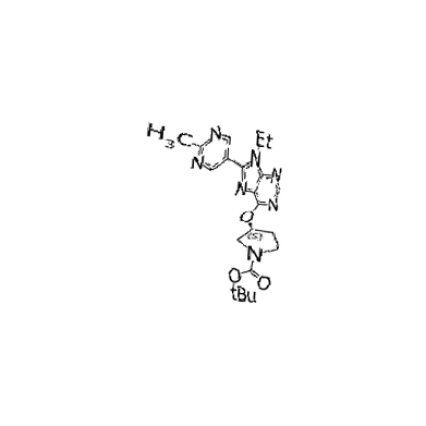 CCn1c(-c2cnc(C)nc2)nc2c(O[C@H]3CCN(C(=O)OC(C)(C)C)C3)ncnc21